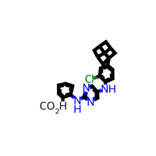 O=C(O)c1ccccc1Nc1ncc(Nc2ccc(C34CC5CC6CC(C3)C654)cc2Cl)cn1